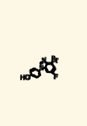 Oc1ccc(-n2cnc3c(Br)cc(F)cc32)cc1